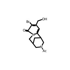 CC(=O)N1CC2CC(C1)c1cc(CO)c(Br)c(=O)n1C2